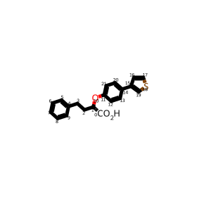 O=C(O)C(CCc1ccccc1)Oc1ccc(-c2ccsc2)cc1